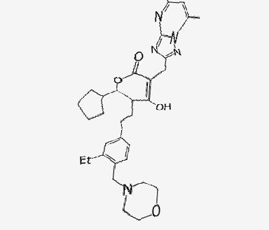 CCc1cc(CCC2C(O)=C(Cc3nc4nc(C)cc(C)n4n3)C(=O)OC2C2CCCC2)ccc1CN1CCOCC1